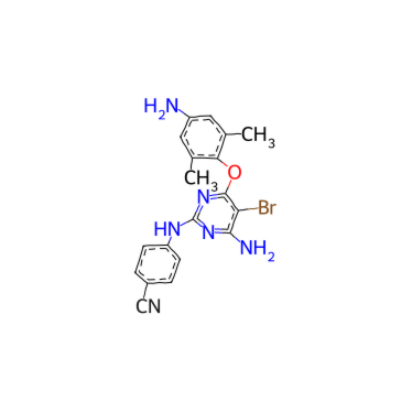 Cc1cc(N)cc(C)c1Oc1nc(Nc2ccc(C#N)cc2)nc(N)c1Br